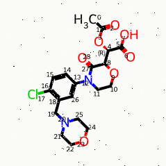 CC(=O)O[C@@H](C(=O)O)C1OCCN(c2ccc(Cl)c(CN3CCOCC3)c2)C1=O